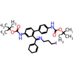 CC(C)(C)OC(=O)Nc1ccc(-c2ccc(NC(=O)OC(C)(C)C)cc2/C(=N/CCCI)C2=CCCC=C2)cc1